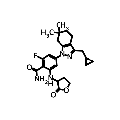 CC1(C)CCc2c(CC3CC3)nn(-c3cc(F)c(C(N)=O)c(NC4CCOC4=O)c3)c2C1